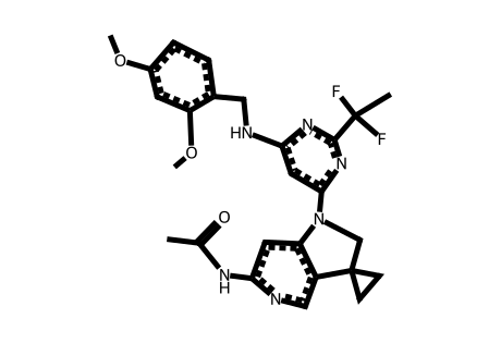 COc1ccc(CNc2cc(N3CC4(CC4)c4cnc(NC(C)=O)cc43)nc(C(C)(F)F)n2)c(OC)c1